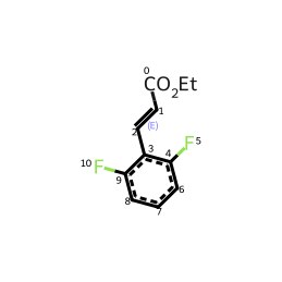 CCOC(=O)/C=C/c1c(F)cccc1F